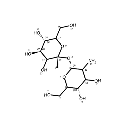 C[C@]1(O[C@H]2OC(CO)[C@@H](O)C(O)C2N)OC(CO)[C@@H](O)[C@H](O)C1O